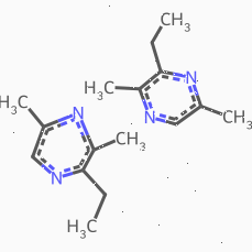 CCc1nc(C)cnc1C.CCc1ncc(C)nc1C